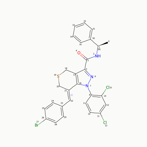 C[C@@H](NC(=O)c1nn(-c2ccc(Cl)cc2Cl)c2c1CSC/C2=C\c1ccc(Br)cc1)c1ccccc1